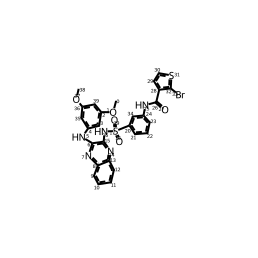 COc1cc(Nc2nc3ccccc3nc2NS(=O)(=O)c2cccc(NC(=O)c3ccsc3Br)c2)cc(OC)c1